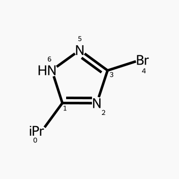 CC(C)c1nc(Br)n[nH]1